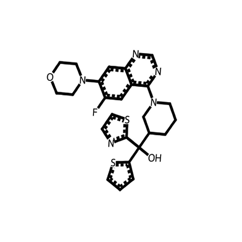 OC(c1cccs1)(c1nccs1)C1CCCN(c2ncnc3cc(N4CCOCC4)c(F)cc23)C1